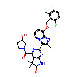 Cc1nc2c(OCc3c(F)ccc(F)c3F)cccn2c1-c1nc2c(c(C(=O)N3CCC(O)C3)n1)C(C)(C)C(=O)N2